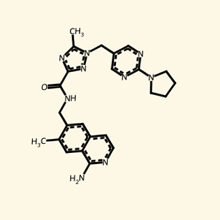 Cc1cc2c(N)nccc2cc1CNC(=O)c1nc(C)n(Cc2cnc(N3CCCC3)nc2)n1